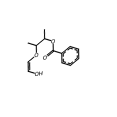 CC(O/C=C\O)C(C)OC(=O)c1ccccc1